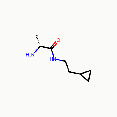 C[C@@H](N)C(=O)NCCC1CC1